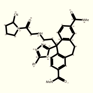 CNC(=O)c1ccc2c(c1)CCc1cc(C(=O)NC)ccc1C2(CCNCC(=O)N1CCCC1C#N)c1nnc(C(C)C)o1